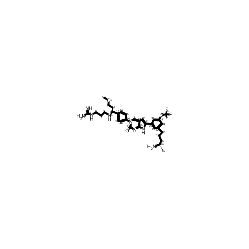 COCC[C@H](NCCCNC(=N)N)c1ccc(-n2cc3cc(-c4cc(CCC[C@H](C)N)cc(SC(F)(F)F)c4)[nH]c3nc2=O)cc1